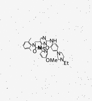 CCN1CCN(c2ccc(Nc3ncc4c(n3)N(c3ccc(OC)cn3)C(=O)N(c3c(C)cccc3C)C4)c(OC)c2)CC1